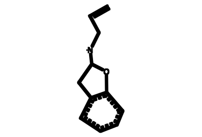 C=CC[N]C1Cc2ccccc2O1